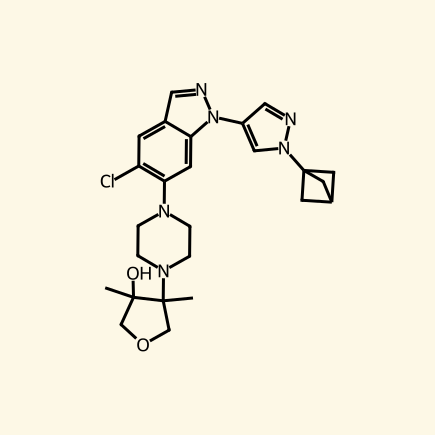 CC1(O)COCC1(C)N1CCN(c2cc3c(cnn3-c3cnn(C45CC(C4)C5)c3)cc2Cl)CC1